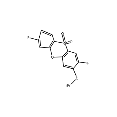 CC(C)Oc1cc2c(cc1F)S(=O)(=O)c1ccc(F)cc1O2